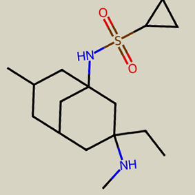 CCC1(NC)CC2CC(C)CC(NS(=O)(=O)C3CC3)(C2)C1